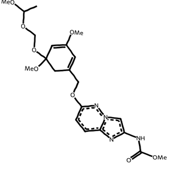 COC(=O)Nc1cn2nc(OCC3=CC(OC)=CC(OC)(OCOC(C)OC)C3)ccc2n1